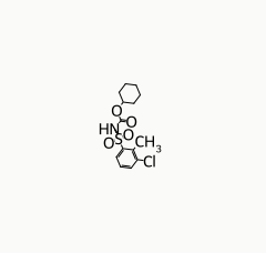 Cc1c(Cl)cccc1S(=O)(=O)NC(=O)OC1CCCCC1